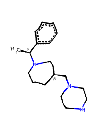 C[C@@H](c1ccccc1)N1CCC[C@H](CN2CCNCC2)C1